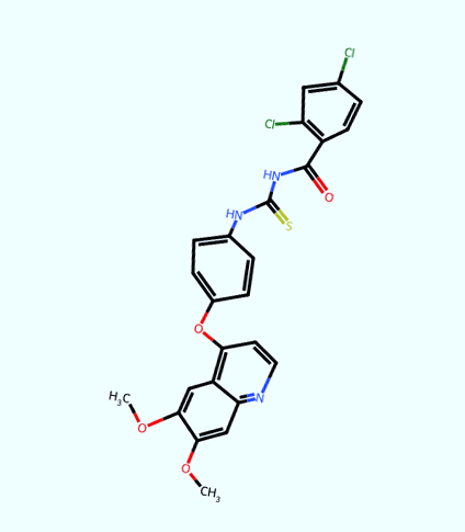 COc1cc2nccc(Oc3ccc(NC(=S)NC(=O)c4ccc(Cl)cc4Cl)cc3)c2cc1OC